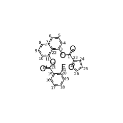 O=C(Oc1cccc2cccc(OC(=O)c3ccccc3F)c12)c1ccco1